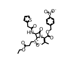 CCOC(=O)CC[S+]([O-])C1C(NC(=O)Cc2cccs2)C(=O)N1C(C(=O)OCc1ccc([N+](=O)[O-])cc1)=C(C)C